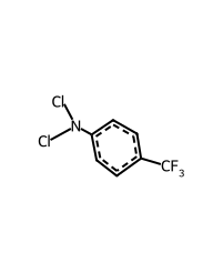 FC(F)(F)c1ccc(N(Cl)Cl)cc1